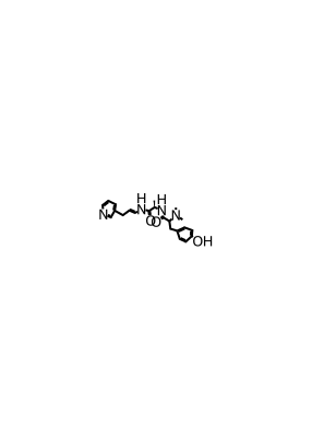 C[C@@H](NC(=O)C(Cc1ccc(O)cc1)N(C)C)C(=O)NC=CCc1cccnc1